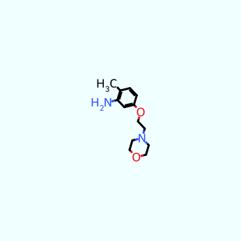 Cc1ccc(OCCN2CCOCC2)cc1N